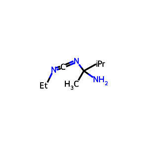 CCN=C=NC(C)(N)C(C)C